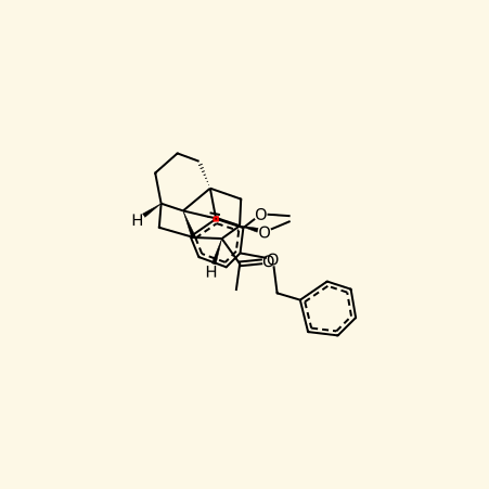 COc1c(OCc2ccccc2)ccc2c1[C@@]13CCC[C@@H](C2)[C@@]12C=C[C@](OC)(C3)[C@H](C(C)=O)C2